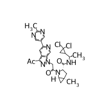 CC(=O)c1nn(CC(=O)N2[C@H](C(=O)N[C@H](C)C3CC3(Cl)Cl)C[C@@]3(C)C[C@@H]23)c2cnc(-c3cnc(C)nc3)cc12